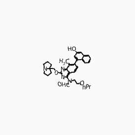 CCCOCCN(C=O)c1nc(OCC23CCCN2CCC3)nc2c(C)c(-c3cc(O)cc4ccccc34)ccc12